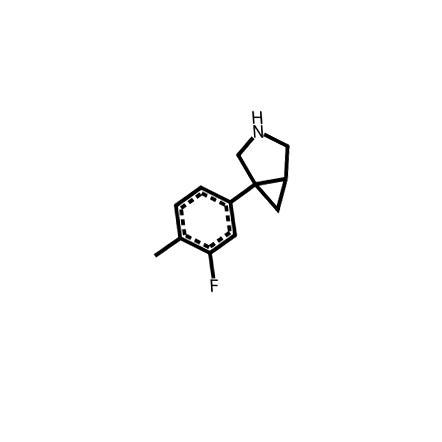 Cc1ccc(C23CNCC2C3)cc1F